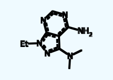 [CH2]Cn1nc(N(C)C)c2c(N)ncnc21